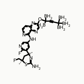 BC(B)(B)C#CC(B)(B)Oc1cnc2c(Nc3cnc(F)c([C@]4(C)C[C@](C)(CF)SC(N)=N4)c3)nccc2n1